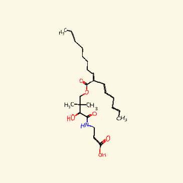 CCCCCCCCC(CCCCCC)C(=O)OCC(C)(C)C(O)C(=O)NCCC(=O)O